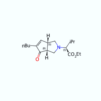 CCCCC1=C[C@@H]2CN([C@H](C(=O)OCC)C(C)C)C[C@@H]2C1=O